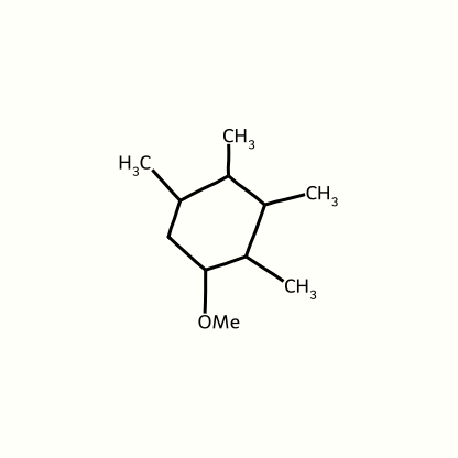 COC1CC(C)C(C)C(C)C1C